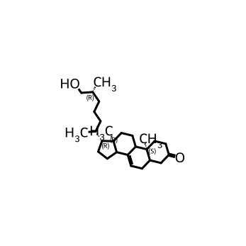 CC(CCC[C@@H](C)CO)[C@H]1CCC2C3=CCC4CC(=O)CC[C@]4(C)C3CC[C@@]21C